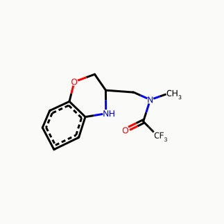 CN(CC1COc2ccccc2N1)C(=O)C(F)(F)F